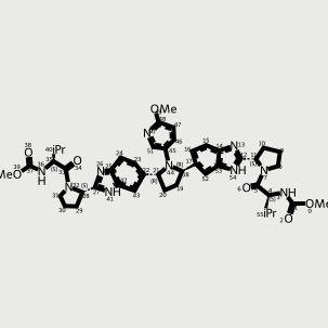 COC(=O)N[C@H](C(=O)N1CCC[C@H]1c1nc2ccc([C@H]3CC[C@H](c4ccc5nc([C@@H]6CCCN6C(=O)[C@@H](NC(=O)OC)C(C)C)[nH]c5c4)N3c3ccc(OC)nc3)cc2[nH]1)C(C)C